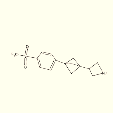 O=S(=O)(c1ccc(C23CC(C4CNC4)(C2)C3)cc1)C(F)(F)F